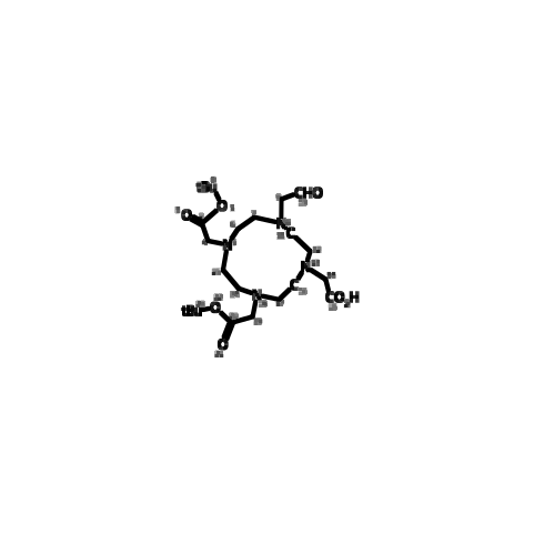 CC(C)(C)OC(=O)CN1CCN(CC=O)CCN(CC(=O)O)CCN(CC(=O)OC(C)(C)C)CC1